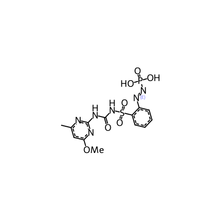 COc1cc(C)nc(NC(=O)NS(=O)(=O)c2ccccc2/N=N/P(=O)(O)O)n1